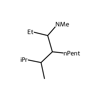 CCCCCC(C(CC)NC)C(C)C(C)C